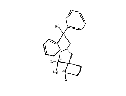 N#CC(CC1C[C@@H]2N[C@H]3CCC32C1)(c1ccccc1)c1ccccc1